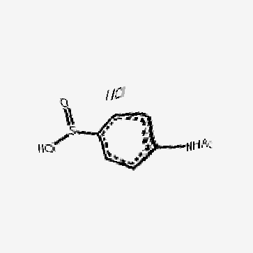 CC(=O)Nc1ccc(S(=O)O)cc1.Cl